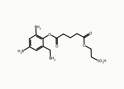 BCc1cc(B)cc(B)c1OC(=O)CCCC(=O)OCCS(=O)(=O)O